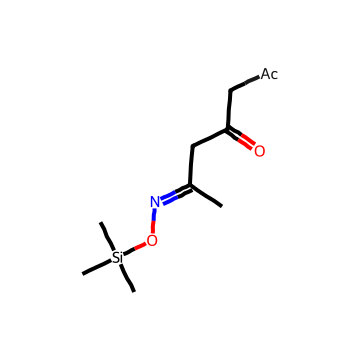 CC(=O)CC(=O)C/C(C)=N/O[Si](C)(C)C